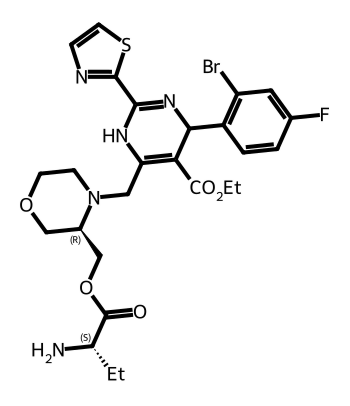 CCOC(=O)C1=C(CN2CCOC[C@@H]2COC(=O)[C@@H](N)CC)NC(c2nccs2)=NC1c1ccc(F)cc1Br